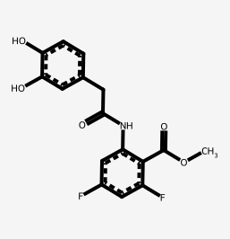 COC(=O)c1c(F)cc(F)cc1NC(=O)Cc1ccc(O)c(O)c1